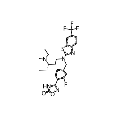 CC[C@@H](CCN(Cc1ccc(-c2noc(=O)[nH]2)c(F)c1)c1nc2ccc(C(F)(F)F)cc2s1)N(C)CC